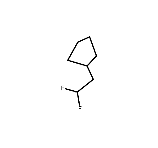 F[C](F)CC1CCCC1